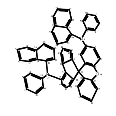 c1ccc(N(c2ccc3c(c2)C2(c4ccccc4O3)c3ccccc3-c3c(N(c4ccccc4)c4cccc5ccccc45)cccc32)c2cccc3ccccc23)cc1